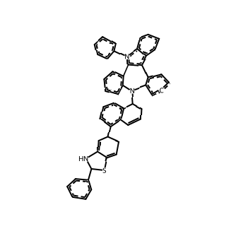 C1=Cc2c(C3C=C4NC(c5ccccc5)SC4=CC3)cccc2C(N2c3ccccc3-c3c(n(-c4ccccc4)c4ccccc34)-c3ccccc32)C1